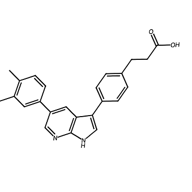 Cc1ccc(-c2cnc3[nH]cc(-c4ccc(CCC(=O)O)cc4)c3c2)cc1C